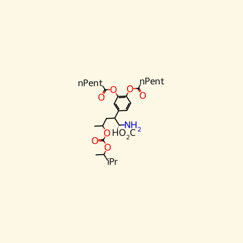 CCCCCC(=O)Oc1ccc(C(CC(C)OC(=O)OC(C)C(C)C)[C@H](N)C(=O)O)cc1OC(=O)CCCCC